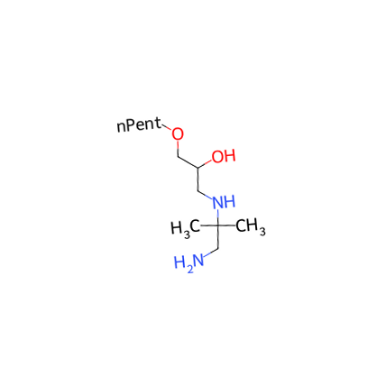 CCCCCOCC(O)CNC(C)(C)CN